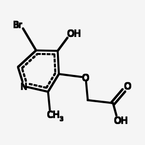 Cc1ncc(Br)c(O)c1OCC(=O)O